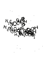 COc1cc(OCC(=O)N(C)CCN(C)C2CCC(OC(=O)C(O)(Cc3cccs3)Cc3cccs3)CC2)c(Cl)cc1CNC[C@H](O[Si](C)(C)C(C)(C)C)c1ccc(O)c2[nH]c(=O)ccc12